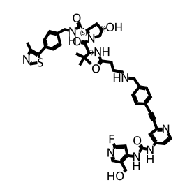 Cc1ncsc1-c1ccc(CNC(=O)[C@@H]2C[C@@H](O)CN2C(=O)[C@@H](NC(=O)CCCNCc2ccc(C#Cc3cc(NC(=O)Nc4cc(F)ncc4CO)ccn3)cc2)C(C)(C)C)cc1